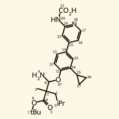 CC(C)CC(C)(C(=O)OC(C)(C)C)C(N)Oc1ccc(-c2ccnc(NC(=O)O)c2)cc1C1CC1